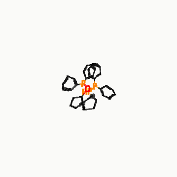 C1=CCC(P(P[C@@H]2CCC[C@]23CCCC3OP(c2ccccc2)c2ccccc2)c2ccccc2)C=C1